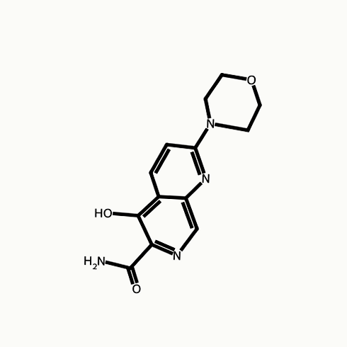 NC(=O)c1ncc2nc(N3CCOCC3)ccc2c1O